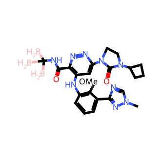 BC(B)(B)NC(=O)c1nnc(N2CCN(C3CCC3)C2=O)cc1Nc1cccc(-c2ncn(C)n2)c1OC